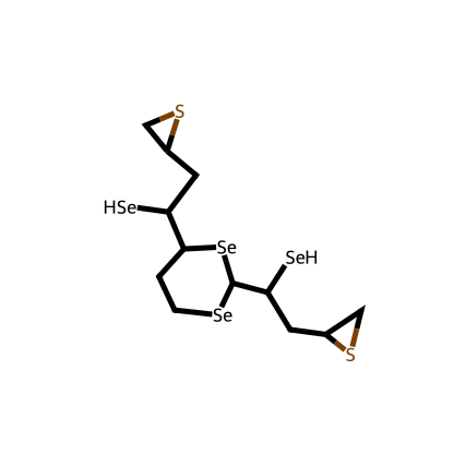 [SeH]C(CC1CS1)C1CC[Se]C(C([SeH])CC2CS2)[Se]1